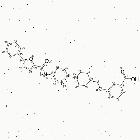 O=C(O)c1cccc(OCC2CCN(c3ccc(NC(=O)c4ccc(-c5ccccc5)o4)cn3)CC2)c1